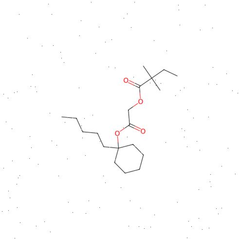 CCCCCC1(OC(=O)COC(=O)C(C)(C)CC)CCCCC1